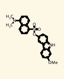 COc1ccc2c(c1)[nH]c1ccc(OS(=O)(=O)c3cccc4c(N(C)C)cccc34)cc12